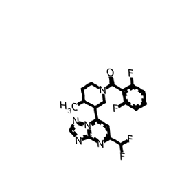 CC1CCN(C(=O)c2c(F)cccc2F)CC1c1cc(C(F)F)nc2ncnn12